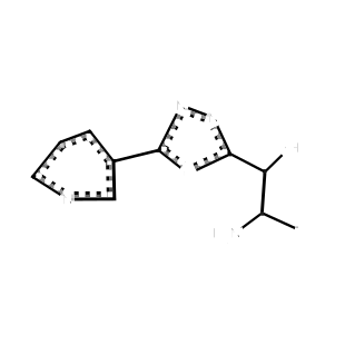 CCC(N)C(O)c1nnc(-c2cccnc2)o1